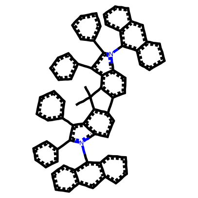 CC1(C)c2c(ccc3c2c(-c2ccccc2)c(-c2ccccc2)n3-c2c3ccccc3cc3ccccc23)-c2ccc3c(c(-c4ccccc4)c(-c4ccccc4)n3-c3c4ccccc4cc4ccccc34)c21